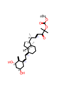 C=C1/C(=C\C=C2/CCC[C@]3(C)[C@@H]([C@H](C)/C=C/C(=O)C(C)(C)OC(=O)OCCCC)CC[C@@H]23)C[C@@H](O)C[C@@H]1O